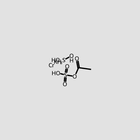 CC(=O)OS(=O)(=O)O.O=S(=O)(O)O.[Cr].[KH]